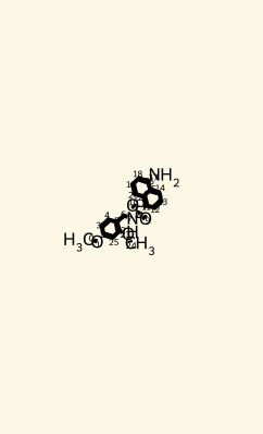 COc1ccc(CNS(=O)(=O)c2cccc3c(N)cccc23)c(OC)c1